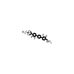 BCc1ccc(-c2ccc(-c3ccc(C4COC(C)OC4)c(F)c3F)cc2)c(F)c1F